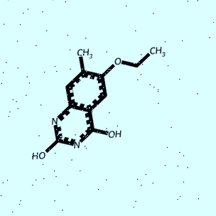 CCOc1cc2c(O)nc(O)nc2cc1C